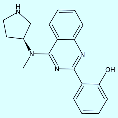 CN(c1nc(-c2ccccc2O)nc2ccccc12)[C@H]1CCNC1